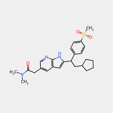 CN(C)C(=O)Cc1cnc2[nH]c(C(CC3CCCC3)c3ccc(S(C)(=O)=O)cc3)cc2c1